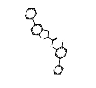 Nc1ccc(-c2cccs2)cc1NC(=O)C1Cc2cc(-c3cccnc3)ccc2S1